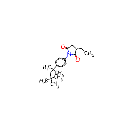 BC(C)(C)CC(C)(C)c1ccc(N2C(=O)CC(CC)C2=O)cc1